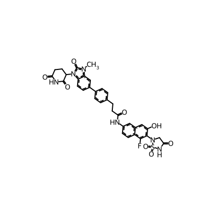 Cn1c(=O)n(C2CCC(=O)NC2=O)c2ccc(-c3ccc(CCC(=O)Nc4ccc5c(F)c(N6CC(=O)NS6(=O)=O)c(O)cc5c4)cc3)cc21